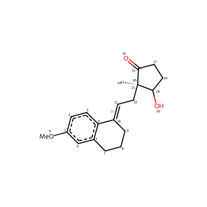 COc1ccc2c(c1)CCC/C2=C\C[C@@]1(C)C(=O)CCC1O